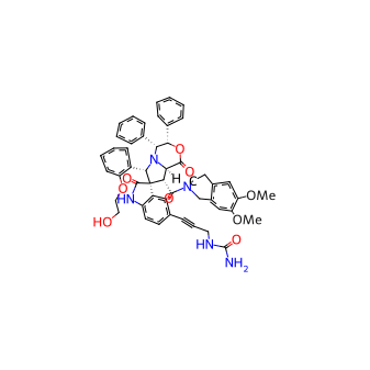 COc1cc2c(cc1OC)CN(C(=O)[C@H]1[C@@H]3C(=O)O[C@@H](c4ccccc4)[C@@H](c4ccccc4)N3[C@@H](c3ccccc3OCCO)[C@]13C(=O)Nc1ccc(C#CCNC(N)=O)cc13)CC2